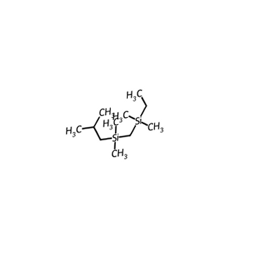 CC[Si](C)(C)C[Si](C)(C)CC(C)C